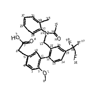 COc1ccc(CC(=O)O)cc1-c1ccc(C(F)(F)F)cc1CN(C(C)=O)c1ccccc1C